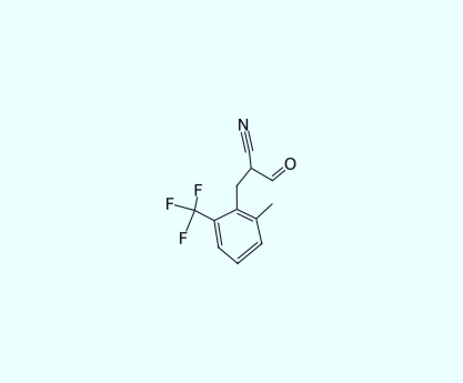 Cc1cccc(C(F)(F)F)c1CC(C#N)C=O